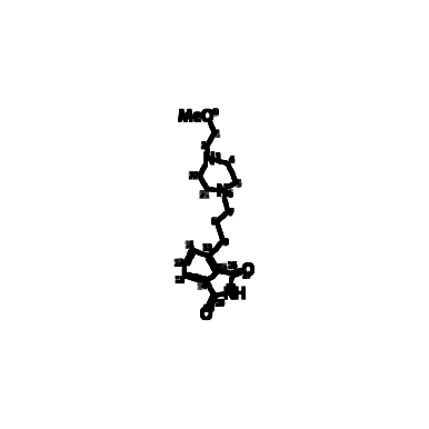 COCCN1CCN(CCCc2cccc3c2C(=O)NC3=O)CC1